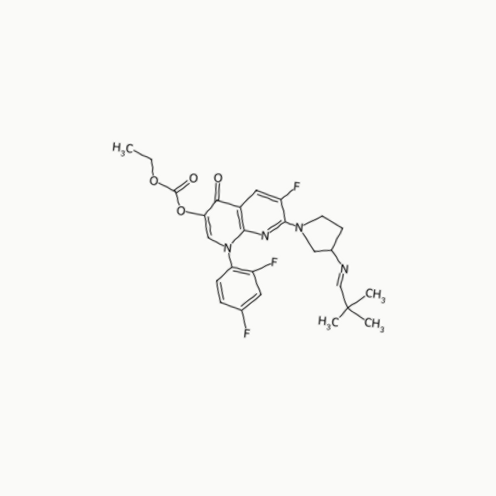 CCOC(=O)Oc1cn(-c2ccc(F)cc2F)c2nc(N3CCC(N=CC(C)(C)C)C3)c(F)cc2c1=O